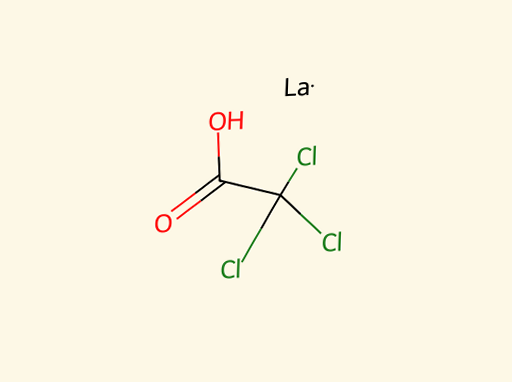 O=C(O)C(Cl)(Cl)Cl.[La]